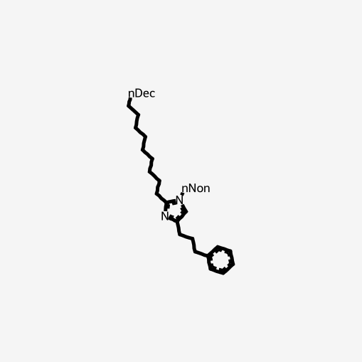 CCCCCCCCCCCCCCCCCCCc1nc(CCCc2ccccc2)cn1CCCCCCCCC